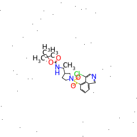 CC(NC(=O)OC(C)(C)C)C1CCN(S(=O)(=O)c2cccc3cncc(Cl)c23)C1